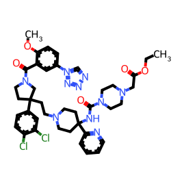 CCOC(=O)CN1CCN(C(=O)NC2(c3ccccn3)CCN(CCC3(c4ccc(Cl)c(Cl)c4)CCN(C(=O)c4cc(-n5cnnn5)ccc4OC)C3)CC2)CC1